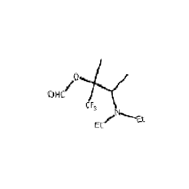 CCN(CC)C(C)C(C)(OC=O)C(F)(F)F